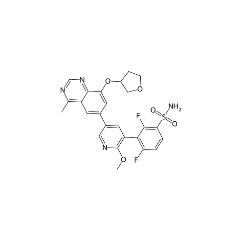 COc1ncc(-c2cc(OC3CCOC3)c3ncnc(C)c3c2)cc1-c1c(F)ccc(S(N)(=O)=O)c1F